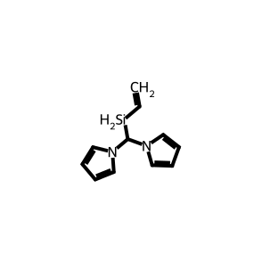 C=C[SiH2]C(n1cccc1)n1cccc1